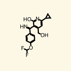 N=C(c1ccc(OC(F)F)cc1)c1c(CO)cc(C2CC2)nc1O